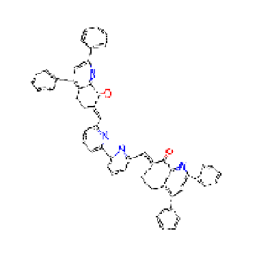 O=C1/C(=C/c2cccc(-c3cccc(/C=C4\CCc5c(-c6ccccc6)cc(-c6ccccc6)nc5C4=O)n3)n2)CCc2c(-c3ccccc3)cc(-c3ccccc3)nc21